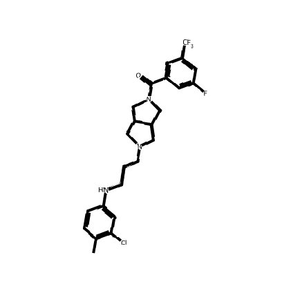 Cc1ccc(NCCCN2CC3CN(C(=O)c4cc(F)cc(C(F)(F)F)c4)CC3C2)cc1Cl